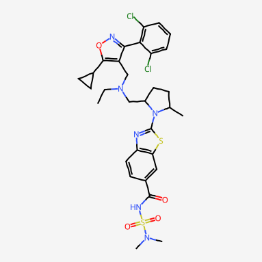 CCN(Cc1c(-c2c(Cl)cccc2Cl)noc1C1CC1)CC1CCC(C)N1c1nc2ccc(C(=O)NS(=O)(=O)N(C)C)cc2s1